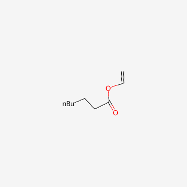 C=COC(=O)CCCCCC